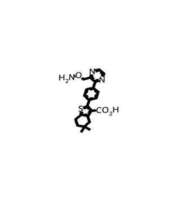 CC1(C)CCc2sc(-c3ccc(-c4nccnc4CON)cc3)c(C(=O)O)c2C1